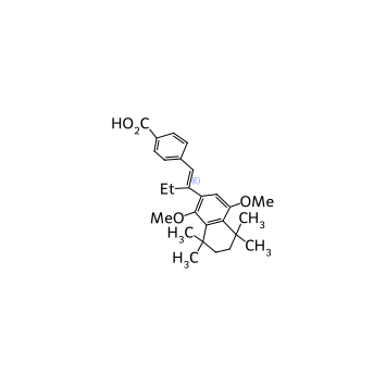 CC/C(=C\c1ccc(C(=O)O)cc1)c1cc(OC)c2c(c1OC)C(C)(C)CCC2(C)C